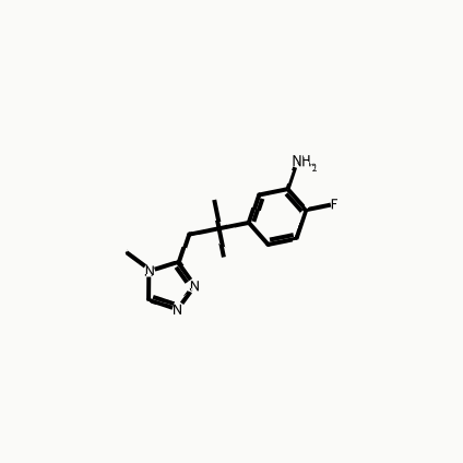 Cn1cnnc1CC(C)(C)c1ccc(F)c(N)c1